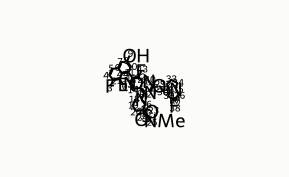 CCc1c(F)ccc2cc(O)cc(-c3ncc4c(N5CCCC(S(=O)(=O)NC)C5)nc(OC[C@@]56CCCN5C[C@H](F)C6)nc4c3F)c12